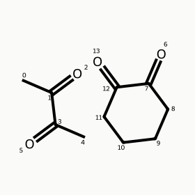 CC(=O)C(C)=O.O=C1CCCCC1=O